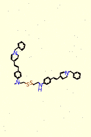 CN(CCSSCCNc1ccc(/C=C/C2=CCN(Cc3ccccc3)C=C2)cc1)c1ccc(/C=C/C2=CCN(Cc3ccccc3)C=C2)cc1